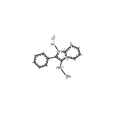 CC(=O)[n+]1c(-c2ccccc2)c(NC(C)(C)C)n2cccnc21.[Cl-]